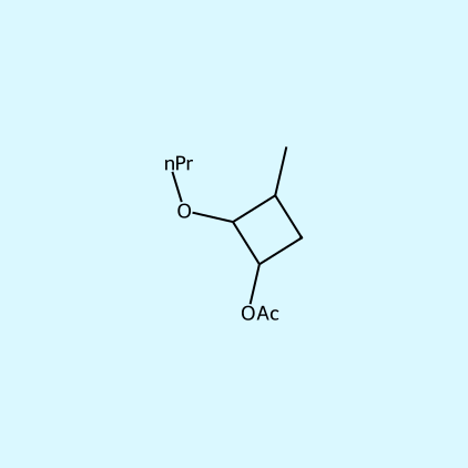 CCCOC1C(C)CC1OC(C)=O